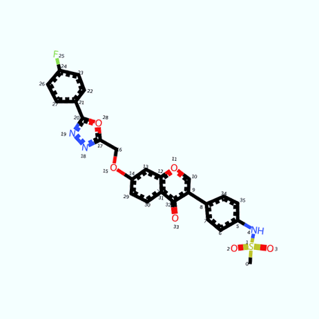 CS(=O)(=O)Nc1ccc(-c2coc3cc(OCc4nnc(-c5ccc(F)cc5)o4)ccc3c2=O)cc1